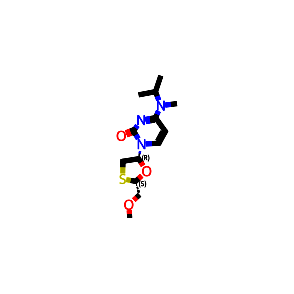 COC[C@H]1O[C@@H](n2ccc(N(C)C(C)C)nc2=O)CS1